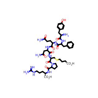 N=C(N)NCCC[C@@H](NC(=O)C1CCCN1C(=O)C(CSCCCC(=O)O)NC(=O)C(CC(N)=O)NC(=O)C(CCC(N)=O)NC(=O)C(Cc1ccccc1)NC(=O)C(N)Cc1ccc(O)cc1)C(=O)O